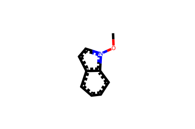 COn1ccc2ccccc21